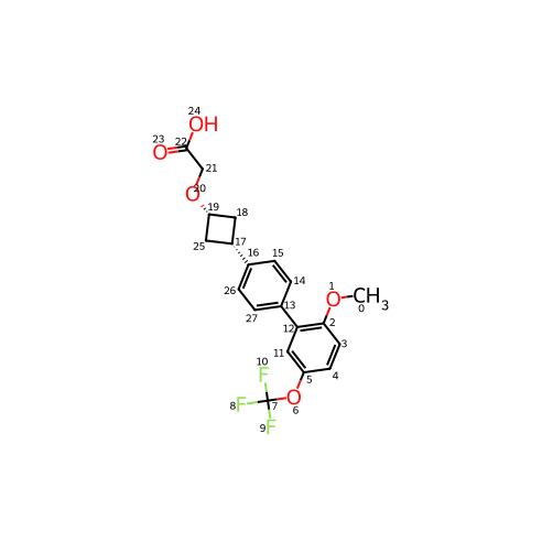 COc1ccc(OC(F)(F)F)cc1-c1ccc([C@H]2C[C@@H](OCC(=O)O)C2)cc1